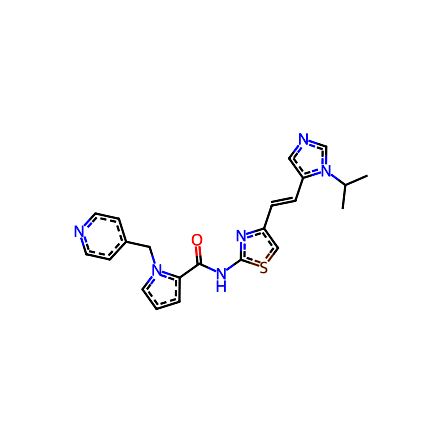 CC(C)n1cncc1C=Cc1csc(NC(=O)c2cccn2Cc2ccncc2)n1